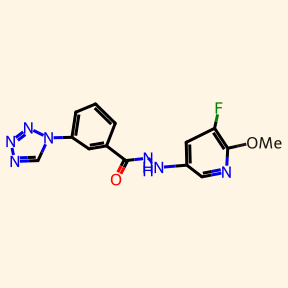 COc1ncc(NNC(=O)c2cccc(-n3cnnn3)c2)cc1F